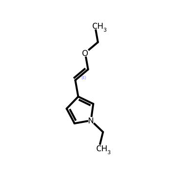 CCO/C=C/c1ccn(CC)c1